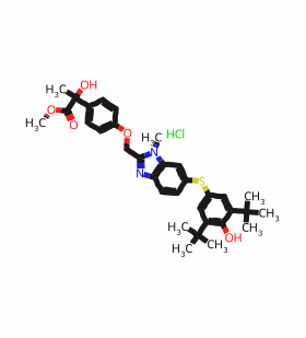 COC(=O)C(C)(O)c1ccc(OCc2nc3ccc(Sc4cc(C(C)(C)C)c(O)c(C(C)(C)C)c4)cc3n2C)cc1.Cl